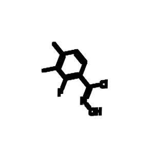 Cc1ccc(C(Cl)=NO)c(F)c1C